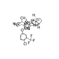 Cc1noc(N2C[C@H]3CC[C@@H](C2)[C@@H]3Nc2nc(Oc3ccc(Cl)c(C(F)(F)F)c3)n(C(C)C)n2)n1